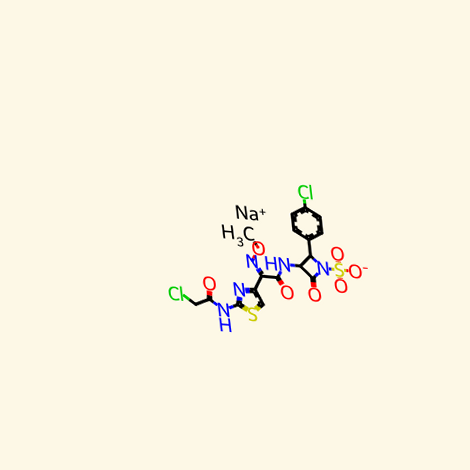 CON=C(C(=O)NC1C(=O)N(S(=O)(=O)[O-])C1c1ccc(Cl)cc1)c1csc(NC(=O)CCl)n1.[Na+]